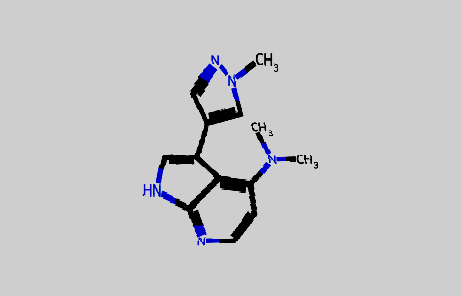 CN(C)c1ccnc2[nH]cc(-c3cnn(C)c3)c12